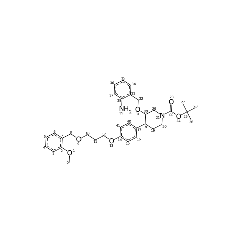 COc1ccccc1COCCCOc1ccc(C2CCN(C(=O)OC(C)(C)C)CC2OCc2ccccc2N)cc1